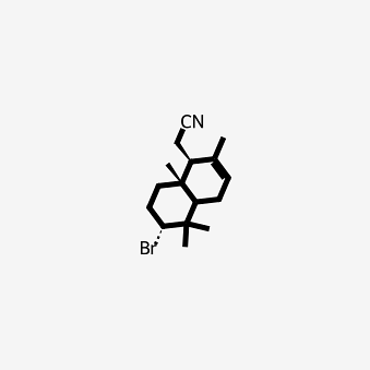 CC1=CCC2C(C)(C)[C@H](Br)CC[C@]2(C)[C@H]1CC#N